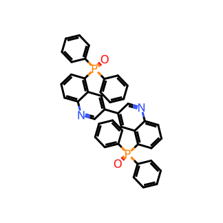 O=P(c1ccccc1)(c1ccccc1)c1cccc2ncc(-c3cnc4cccc(P(=O)(c5ccccc5)c5ccccc5)c4c3)cc12